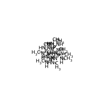 CNP(=N[PH](N=P(NC)(NC)NC)(N=P(NC)(NC)NC)N=P(NC)(NC)NC)(NC)NC